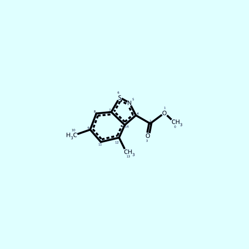 COC(=O)c1nsc2cc(C)cc(C)c12